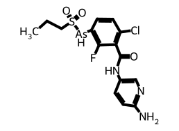 CCCS(=O)(=O)[AsH]c1ccc(Cl)c(C(=O)Nc2ccc(N)nc2)c1F